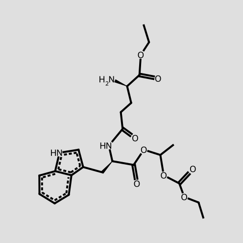 CCOC(=O)OC(C)OC(=O)[C@@H](Cc1c[nH]c2ccccc12)NC(=O)CC[C@@H](N)C(=O)OCC